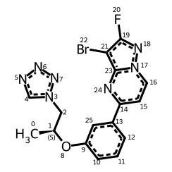 C[C@@H](Cn1cnnn1)Oc1cccc(-c2ccn3nc(F)c(Br)c3n2)c1